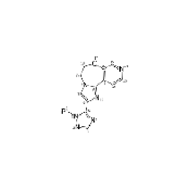 CC(C)n1ncnc1-c1cn2c(n1)-c1ccncc1OCC2